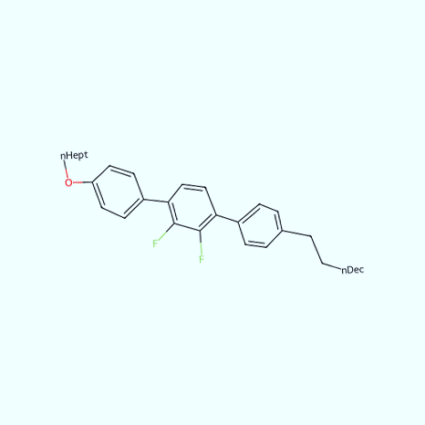 CCCCCCCCCCCCc1ccc(-c2ccc(-c3ccc(OCCCCCCC)cc3)c(F)c2F)cc1